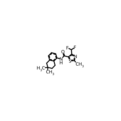 Cc1nc(C(F)F)c(C(=O)Nc2cccc3c2CCC(C)(C)C3)s1